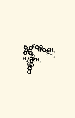 CCC(C)(Cl)c1ccc(S(=O)(=O)c2ccc(Oc3ccc(C4(c5ccc(OC(CC)(CC)c6ccc(S(=O)(=O)c7ccc(Cl)cc7)cc6)cc5)c5ccccc5-c5ccccc54)cc3)cc2)cc1